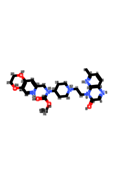 Cc1ccc2ncc(=O)n(CCN3CCC(N(Cc4cc5c(cn4)OCCO5)C(=O)OC(C)(C)C)CC3)c2n1